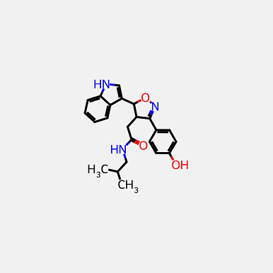 CC(C)CNC(=O)CC1C(c2ccc(O)cc2)=NOC1c1c[nH]c2ccccc12